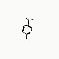 Cc1ccc([C@H](C)N)cn1